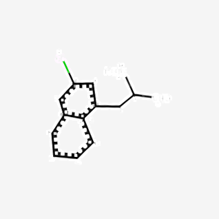 O=CC(Cc1cc(Cl)cc2ccccc12)C(=O)O